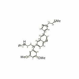 COc1cc(OC)cc(N(CCNC(C)C)c2ccc3ncc(-c4cnn(CCSC)c4)cc3c2)c1